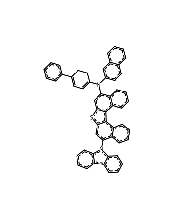 C1=C(c2ccccc2)CCC(N(c2ccc3ccccc3c2)c2cc3sc4cc(-n5c6ccccc6c6ccccc65)c5ccccc5c4c3c3ccccc23)=C1